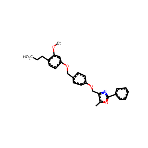 CCOc1cc(OCc2ccc(OCc3nc(-c4ccccc4)oc3C)cc2)ccc1CCC(=O)O